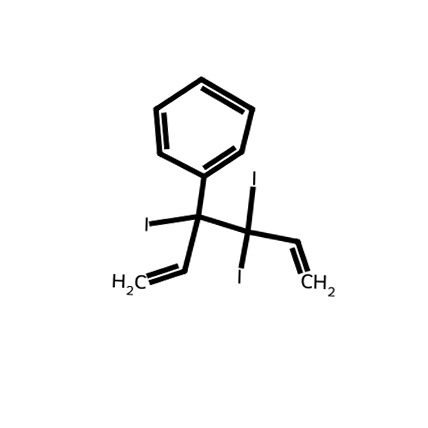 C=CC(I)(I)C(I)(C=C)c1ccccc1